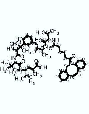 CN[C@H](C(=O)N[C@H](C(=O)N(C)[C@H](/C=C(\C)C(=O)O)C(C)C)C(C)(C)C)C(C)(C)c1cccc(NC(=O)[C@H](C)NC(=O)[C@@H](NC(=O)CCCCC(=O)N2Cc3ccccc3/C=C\c3ccccc32)C(C)C)c1